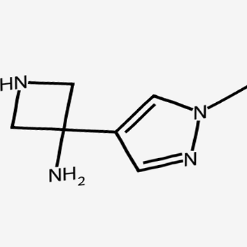 Cn1cc(C2(N)CNC2)cn1